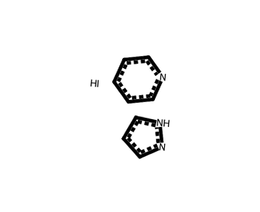 I.c1ccncc1.c1cn[nH]c1